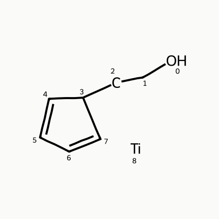 OCCC1C=CC=C1.[Ti]